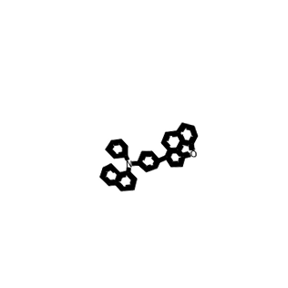 c1ccc(N(c2ccc(-c3ccc4oc5cccc6ccc3c4c65)cc2)c2cccc3ccccc23)cc1